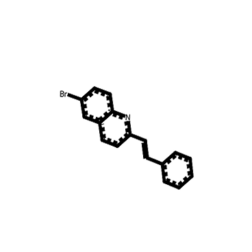 Brc1ccc2nc(/C=C/c3ccccc3)ccc2c1